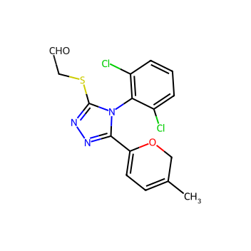 CC1=CC=C(c2nnc(SCC=O)n2-c2c(Cl)cccc2Cl)OC1